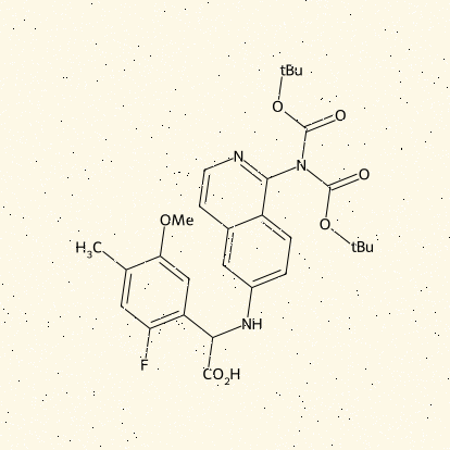 COc1cc(C(Nc2ccc3c(N(C(=O)OC(C)(C)C)C(=O)OC(C)(C)C)nccc3c2)C(=O)O)c(F)cc1C